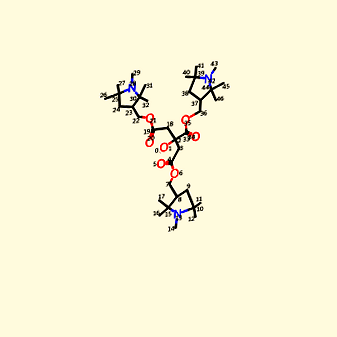 COC(CC(=O)OCC1CC(C)(C)N(C)C1(C)C)(CC(=O)OCC1CC(C)(C)N(C)C1(C)C)C(=O)OCC1CC(C)(C)N(C)C1(C)C